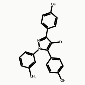 CCc1c(-c2ccc(O)cc2)nn(-c2cccc(C)c2)c1-c1ccc(O)cc1